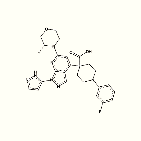 C[C@@H]1COCCN1c1cc(C2(C(=O)O)CCN(c3cccc(F)c3)CC2)c2cnn(-c3ccn[nH]3)c2n1